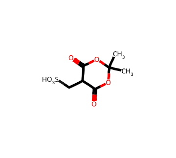 CC1(C)OC(=O)C(CS(=O)(=O)O)C(=O)O1